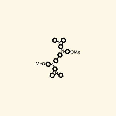 COc1ccc(N(c2ccc(-c3ccc(N(c4ccc(OC)cc4)c4ccc5c(c4)c4ccccc4n5-c4ccccc4)cc3)cc2)c2ccc3c(c2)C2C=CC=CC2N3c2ccccc2)cc1